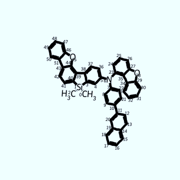 C[Si]1(C)c2cc(N(c3ccc(-c4ccc5ccccc5c4)cc3)c3cccc4oc5ccccc5c34)ccc2-c2c1ccc1c2oc2ccccc21